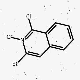 CCc1cc2ccccc2c(Cl)[n+]1[O-]